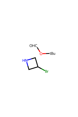 BrC1CNC1.CC(C)(C)OC=O